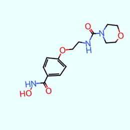 O=C(NO)c1ccc(OCCNC(=O)N2CCOCC2)cc1